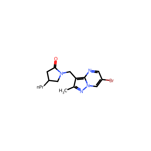 CCCC1CC(=O)N(Cc2c(C)nn3cc(Br)cnc23)C1